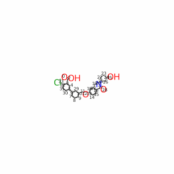 O=C(O)c1cc(-c2cccc(COc3ccc4c(c3)CN(C3CCC(O)C3)C4=O)c2)ccc1Cl